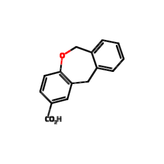 O=C(O)c1ccc2c(c1)Cc1ccccc1CO2